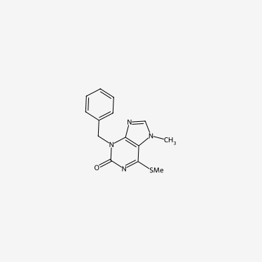 CSc1nc(=O)n(Cc2ccccc2)c2ncn(C)c12